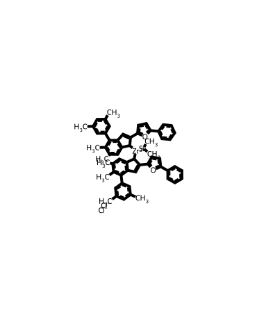 Cc1cc(C)cc(-c2c(C)c(C)cc3c2C=C(c2ccc(-c4ccccc4)o2)[CH]3[Zr+2]([CH]2C(c3ccc(-c4ccccc4)o3)=Cc3c2cc(C)c(C)c3-c2cc(C)cc(C)c2)=[Si](C)C)c1.[Cl-].[Cl-]